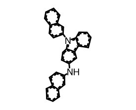 c1ccc2cc(Nc3ccc4c(c3)c3ccccc3n4-c3ccc4ccccc4c3)ccc2c1